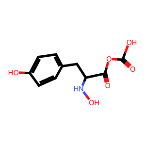 O=C(O)OC(=O)C(Cc1ccc(O)cc1)NO